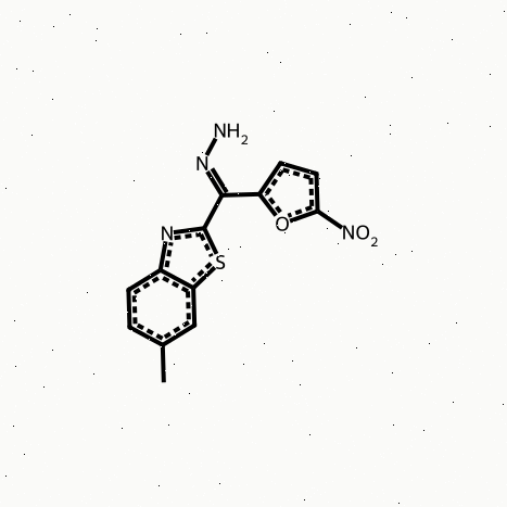 Cc1ccc2nc(C(=NN)c3ccc([N+](=O)[O-])o3)sc2c1